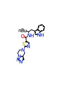 CCCCC(Cc1c[nH]c2ccccc12)NC(=O)c1cnc(N2CCn3nncc3C2)s1